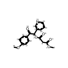 COC(=O)CC(=O)OC(C(=O)c1ccc(OC)cc1)c1cccnc1